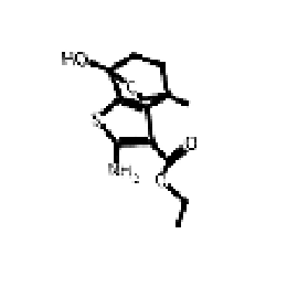 CCOC(=O)c1c(N)sc2c1C1(C)CCC2(O)CC1